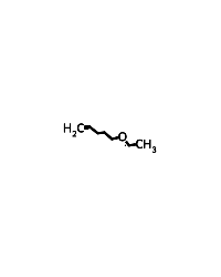 C=CCCCO[CH]C